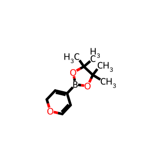 CC1(C)OB(C2=CCOC=C2)OC1(C)C